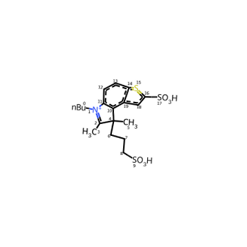 CCCC[N+]1=C(C)C(C)(CCCS(=O)(=O)O)c2c1ccc1sc(S(=O)(=O)O)cc21